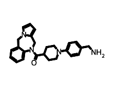 NCc1ccc(N2CCC(C(=O)N3Cc4cccn4Cc4ccccc43)CC2)cc1